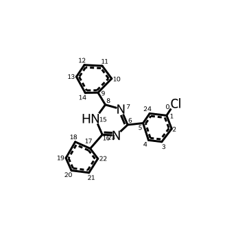 Clc1cccc(C2=NC(c3ccccc3)NC(c3ccccc3)=N2)c1